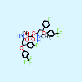 CNC(CC(Oc1ccc(C(F)(F)F)cc1)c1ccc(F)cc1)OC(=O)C(=O)OC(CC(Oc1ccc(C(F)(F)F)cc1)c1ccc(F)cc1)NC